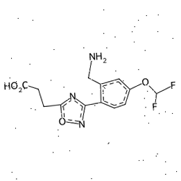 NCc1cc(OC(F)F)ccc1-c1noc(CCC(=O)O)n1